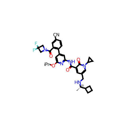 CC(C)Oc1cc(-c2ccc(C#N)cc2C(=O)N2CC(F)(F)C2)cc(NC(=O)c2cc(CN[C@@H](C)C3CCC3)cn(C3CC3)c2=O)n1